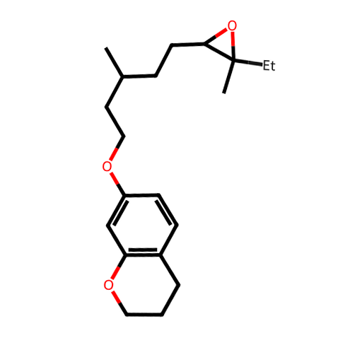 CCC1(C)OC1CCC(C)CCOc1ccc2c(c1)OCCC2